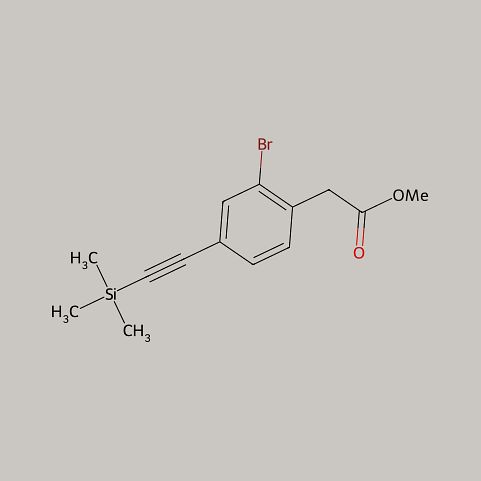 COC(=O)Cc1ccc(C#C[Si](C)(C)C)cc1Br